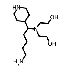 NCCCCC(C1CCNCC1)N(CCO)CCO